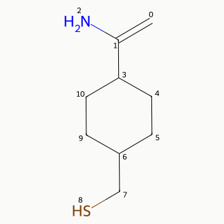 C=C(N)C1CCC(CS)CC1